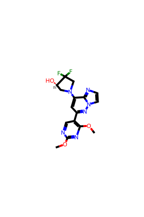 COc1ncc(-c2cc(N3C[C@H](O)C(F)(F)C3)c3nccn3n2)c(OC)n1